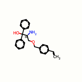 C=Cc1ccc(COC[C@H](N)C(O)(c2ccccc2)c2ccccc2)cc1